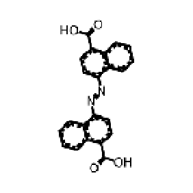 O=C(O)c1ccc(/N=N/c2ccc(C(=O)O)c3ccccc23)c2ccccc12